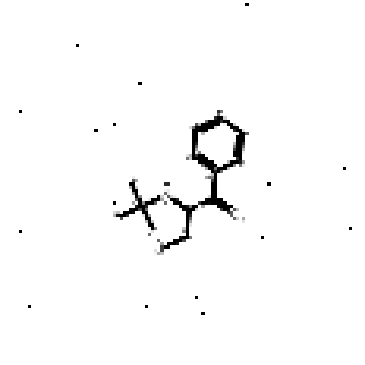 CC(C)(C)NC(CCl)C(=O)c1ccccc1